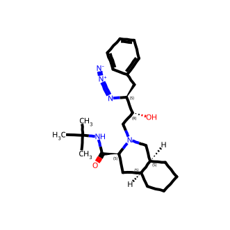 CC(C)(C)NC(=O)[C@@H]1C[C@@H]2CCCC[C@@H]2CN1C[C@@H](O)[C@H](Cc1ccccc1)N=[N+]=[N-]